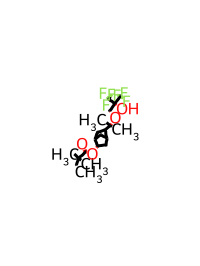 CCC(C)(C)C(=O)OC1CC2CC1CC2C(C)(C)OCC(O)(C(F)(F)F)C(F)(F)F